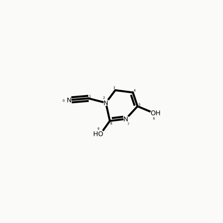 N#CN1CC=C(O)N=C1O